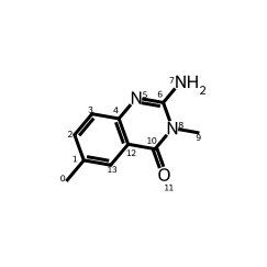 Cc1ccc2nc(N)n(C)c(=O)c2c1